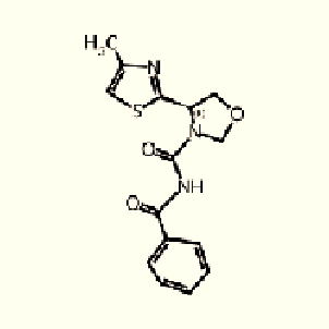 Cc1csc([C@H]2COCN2C(=O)NC(=O)c2ccccc2)n1